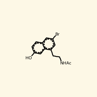 CC(=O)NCCc1cc(Br)cc2ccc(O)cc12